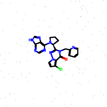 O=c1c2c(Cl)ccn2nc([C@@H]2CCCN2c2ncnc3[nH]cnc23)n1Cc1ccccn1